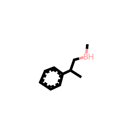 CBCC(C)c1ccccc1